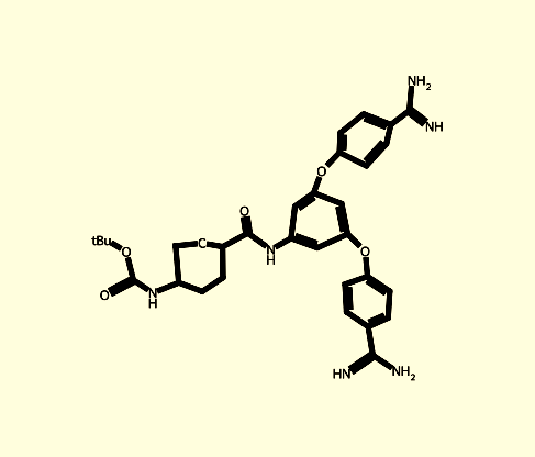 CC(C)(C)OC(=O)NC1CCC(C(=O)Nc2cc(Oc3ccc(C(=N)N)cc3)cc(Oc3ccc(C(=N)N)cc3)c2)CC1